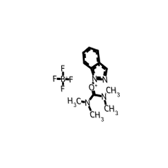 CN(C)C(=[O+]n1ncc2ccccc21)N(C)C.F[B-](F)(F)F